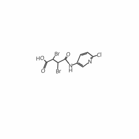 O=C(O)C(Br)C(Br)C(=O)Nc1ccc(Cl)nc1